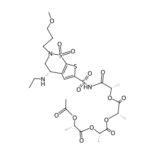 CCN[C@@H]1CN(CCCOC)S(=O)(=O)c2sc(S(=O)(=O)NC(=O)[C@H](C)OC(=O)[C@H](C)OC(=O)[C@H](C)OC(=O)[C@H](C)OC(C)=O)cc21